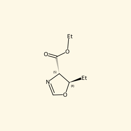 CCOC(=O)[C@H]1N=CO[C@@H]1CC